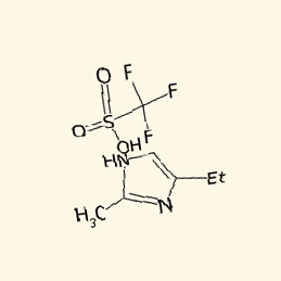 CCc1c[nH]c(C)n1.O=S(=O)(O)C(F)(F)F